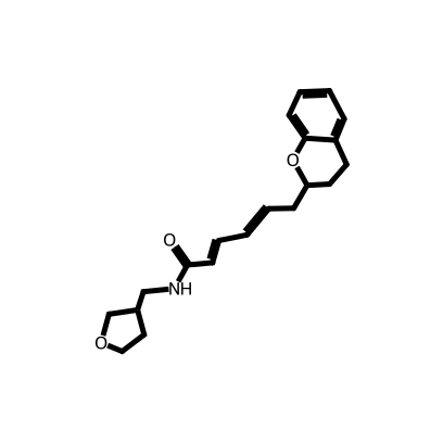 O=C(/C=C/C=C/CC1CCc2ccccc2O1)NCC1CCOC1